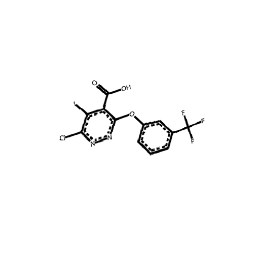 O=C(O)c1c(Oc2cccc(C(F)(F)F)c2)nnc(Cl)c1I